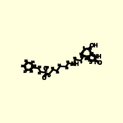 O=c1[nH]c2c(O)ccc(CCNCCCCCCS(=O)(=O)CCc3ccccc3)c2s1